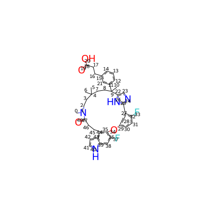 CN1CCC(C)(C)CCC(C)(c2cccc(CCC(=O)O)c2)c2cnc([nH]2)-c2cc(ccc2F)Oc2c(F)cc3[nH]ccc3c2CCC1=O